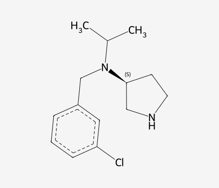 CC(C)N(Cc1cccc(Cl)c1)[C@H]1CCNC1